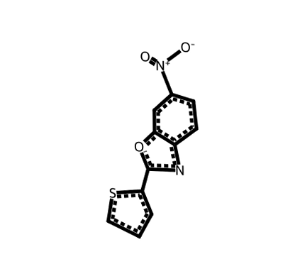 O=[N+]([O-])c1ccc2nc(-c3cccs3)oc2c1